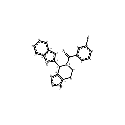 O=C(c1cccc(F)c1)N1CCc2[nH]cnc2[C@H]1c1cc2ccccc2o1